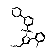 CNCc1cc(-c2ccccc2F)n(S(=O)(=O)c2cncc(C3=CCSCC3)c2)c1